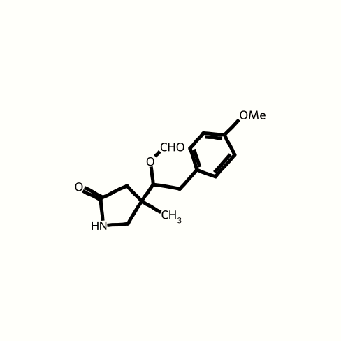 COc1ccc(CC(OC=O)C2(C)CNC(=O)C2)cc1